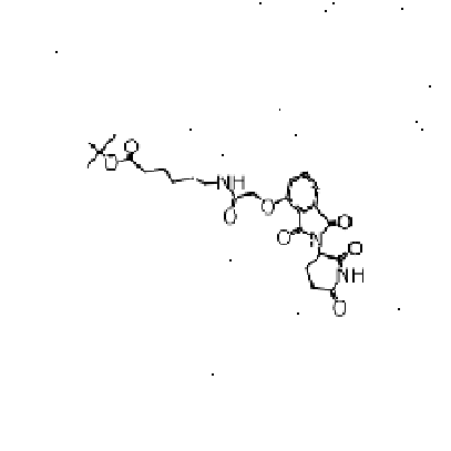 CC(C)(C)OC(=O)CCCCCNC(=O)COc1cccc2c1C(=O)N(C1CCC(=O)NC1=O)C2=O